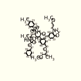 COCCCN1CCOc2ccc(CO[C@H]3CN(S(=O)(=O)c4ccc(C)cc4)[C@@H](CC(C)(C)NC(=O)OCc4ccccc4)C[C@@H]3c3ccc(COC[C@@H](C)COC)cc3)cc21